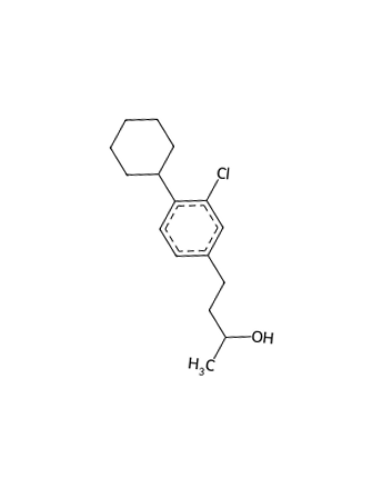 CC(O)CCc1ccc(C2CCCCC2)c(Cl)c1